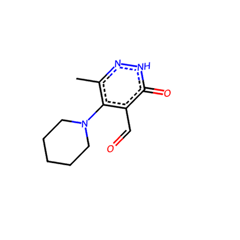 Cc1n[nH]c(=O)c(C=O)c1N1CCCCC1